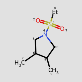 CCS(=O)(=O)N1CC(C)C(C)C1